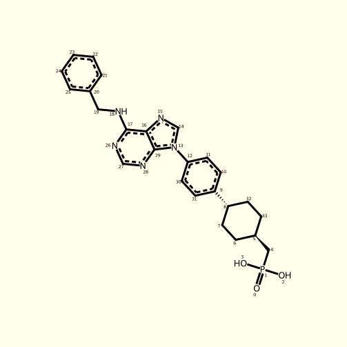 O=P(O)(O)C[C@H]1CC[C@H](c2ccc(-n3cnc4c(NCc5ccccc5)ncnc43)cc2)CC1